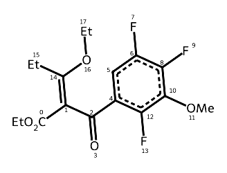 CCOC(=O)C(C(=O)c1cc(F)c(F)c(OC)c1F)=C(CC)OCC